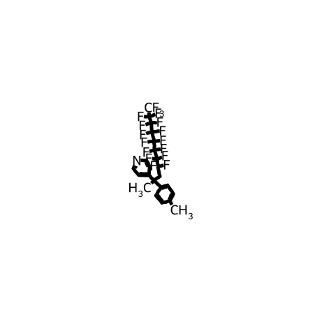 Cc1ccc(C(C)(CC(F)(F)C(F)(F)C(F)(F)C(F)(F)C(F)(F)C(F)(F)C(F)(F)C(F)(F)F)c2ccncc2)cc1